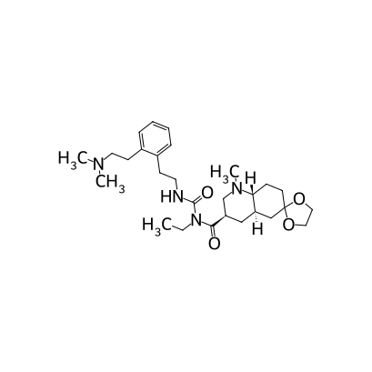 CCN(C(=O)NCCc1ccccc1CCN(C)C)C(=O)[C@@H]1C[C@@H]2CC3(CC[C@H]2N(C)C1)OCCO3